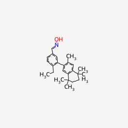 CCc1ccc(C=NO)cc1-c1cc2c(cc1C)C(C)(C)CCC2(C)C